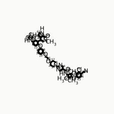 Cn1cc(-c2cc(NS(C)(=O)=O)ccc2Oc2cccc(OCCOC3CCN(c4ncc(C(=O)NC5C(C)(C)C(Oc6ccc(C#N)c(Cl)c6)C5(C)C)cn4)CC3)c2)c2cc[nH]c2c1=O